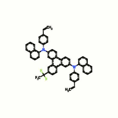 C=Cc1ccc(N(c2ccc3c4ccc(N(c5ccc(C=C)cc5)c5cccc6ccccc56)cc4c4cc(C(F)(F)C(F)(F)F)ccc4c3c2)c2cccc3ccccc23)cc1